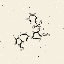 COc1ncc(-c2ccn3ncc(C#N)c3c2)cc1NS(=O)(=O)c1cccnc1